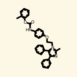 Cc1ccccc1OC(=O)Nc1ccc(OCCn2c(C)nc(-c3ccccc3)c2-c2ccccc2)cc1